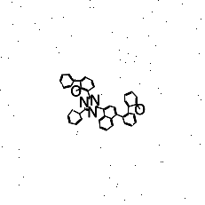 C1=CCC(c2nc(-c3ccc(-c4cccc5oc6ccccc6c45)c4ccccc34)nc(-c3cccc4c3oc3ccccc34)n2)C=C1